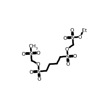 CCOS(=O)(=O)COS(=O)(=O)CCCCS(=O)(=O)OCS(C)(=O)=O